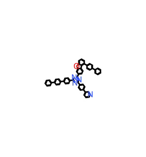 c1ccc(-c2ccc(-c3ccc(-c4nc(-c5ccc(-c6cccnc6)cc5)nc(-c5ccc6c(c5)oc5cccc(-c7ccc(-c8ccccc8)cc7)c56)n4)cc3)cc2)cc1